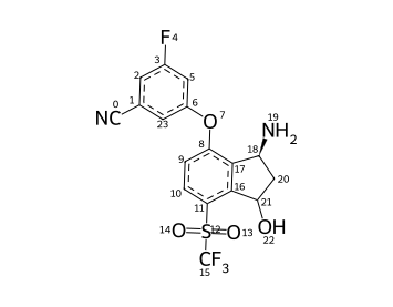 N#Cc1cc(F)cc(Oc2ccc(S(=O)(=O)C(F)(F)F)c3c2[C@@H](N)CC3O)c1